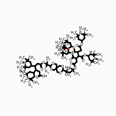 CN1C(C)(C)CC(OC(=O)CC(C(=O)OC2CC(C)(C)N(C)C(C)(C)C2)C(C(=O)OC2CC(C)(C)N(C)C(C)(C)C2)C(CC(=O)OC(C)(C)CC(C)(C)C2OCC3(CO2)COC(C(C)(C)OC(=O)CC(C2CC(C)(C)N(C)C(C)(C)C2)C(CC(=O)O)C2CC(C)(C)N(C)C(C)(C)C2)OC3)C(=O)OC2CC(C)(C)NC(C)(C)C2)CC1(C)C